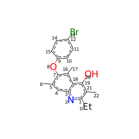 CCc1nc2cc(C)c(Oc3ccc(Br)cc3)c(C)c2c(O)c1C